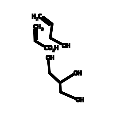 C=CC(=O)O.C=CCO.OCC(O)CO